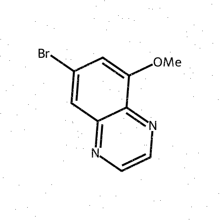 COc1cc(Br)cc2nccnc12